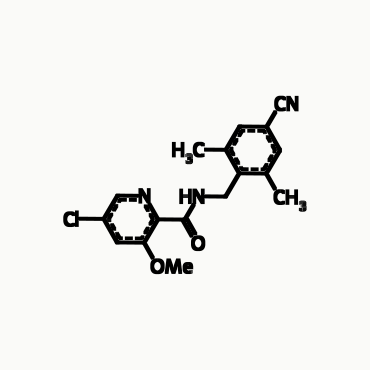 COc1cc(Cl)cnc1C(=O)NCc1c(C)cc(C#N)cc1C